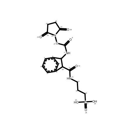 O=C(NC1c2cccc(c2)C1C(=O)NCCCP(=O)(O)O)ON1C(=O)CCC1=O